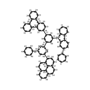 c1ccc(-c2ccc3c4ccccc4n(-c4cc(-c5ccc6c7ccccc7c7ccccc7c6c5)cc(-c5nc(-c6ccccc6)cc(-c6ccc7ccc8cccc9ccc6c7c89)n5)c4)c3c2)cc1